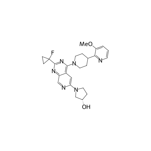 COc1cccnc1C1CCN(c2nc(C3(F)CC3)nc3cnc(N4CC[C@H](O)C4)cc23)CC1